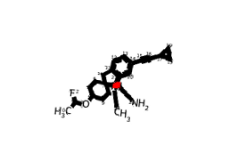 CC(F)OC1CCC2(CC1)Cc1ccc(C#CC3CC3)cc1C21N=C(N)N(C)O1